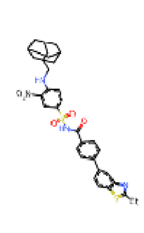 CCc1nc2cc(-c3ccc(C(=O)NS(=O)(=O)c4ccc(NCC56CC7CC(CC(C7)C5)C6)c([N+](=O)[O-])c4)cc3)ccc2s1